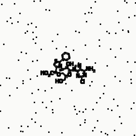 C#C[C@@H](O)[C@@H](O[C@@H](CO)CO[C@@H](C(=O)O)c1csc(-c2ccccc2)n1)n1cnc2c(N)nc(Cl)nc21